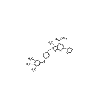 COC(=O)c1cc(-c2ccco2)nc2nn(Cc3ccc(Oc4cc(C)c(C)c(C)c4)cc3)c(C)c12